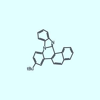 CC(C)(C)c1ccc2c(c1)c1ccc3ccccc3c1c1nc3ccccc3n21